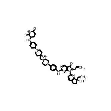 C=CCn1c(=O)c2cnc(Nc3ccc(N4CCN(CC5(O)CCN(c6ccc(NC7CCC(=O)NC7=O)cc6)CC5)CC4)cc3)nc2n1-c1ccc2c(n1)[C@@](O)(CC)CC2